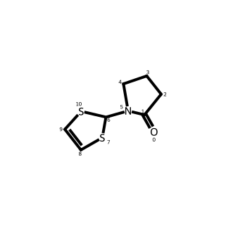 O=C1CCCN1C1SC=CS1